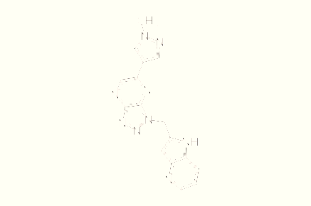 Cn1cc(-c2cnc3nnn(Cc4cc5ncccc5[nH]4)c3n2)cn1